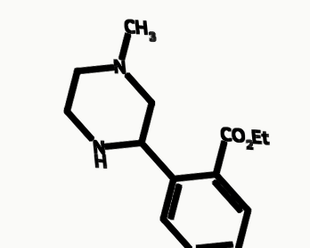 CCOC(=O)c1ccccc1C1CN(C)CCN1